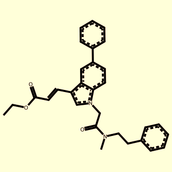 CCOC(=O)/C=C/c1cn(CC(=O)N(C)CCc2ccccc2)c2ccc(-c3ccccc3)cc12